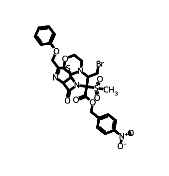 CS(=O)(=O)C(C(=O)OCc1ccc([N+](=O)[O-])cc1)(C(CBr)N1CCOCC1)N1C(=O)C2N=C(COc3ccccc3)SC21